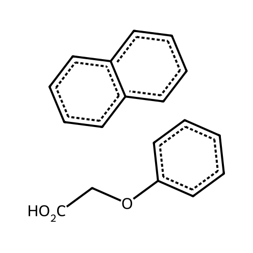 O=C(O)COc1ccccc1.c1ccc2ccccc2c1